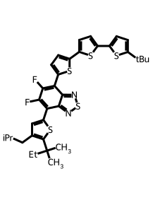 CCC(C)(C)c1sc(-c2c(F)c(F)c(-c3ccc(-c4ccc(-c5ccc(C(C)(C)C)s5)s4)s3)c3nsnc23)cc1CC(C)C